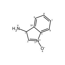 NC1C=[N+]([O-])c2ccccc21